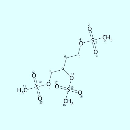 CS(=O)(=O)OCCC(COS(C)(=O)=O)OS(C)(=O)=O